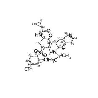 CC(C)N1CC2N(C(=O)C(NC(=O)C3CC3)CN2S(=O)(=O)c2ccc(Cl)cc2Cl)C(Cc2cccnc2)C1=O